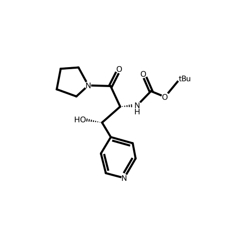 CC(C)(C)OC(=O)N[C@@H](C(=O)N1CCCC1)[C@@H](O)c1ccncc1